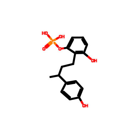 CC(CCc1c(O)cccc1OP(=O)(O)O)c1ccc(O)cc1